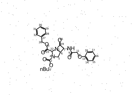 CCCCOC(=O)N1CC2[C@@H](NC(=O)COc3ccccc3)C(=O)N2C1C(=O)OCc1ccccc1